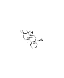 CC1(C)C(=O)CC[C@]2(C)C3=CCCC[C@]3(C#N)CC[C@@H]12